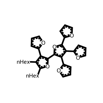 CCCCCCc1oc(-c2oc(-c3ccco3)c(-c3ccco3)c2-c2ccco2)c(-c2ccco2)c1CCCCCC